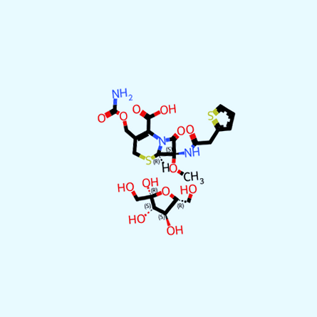 CO[C@@]1(NC(=O)Cc2cccs2)C(=O)N2C(C(=O)O)=C(COC(N)=O)CS[C@@H]21.OC[C@H]1O[C@](O)(CO)[C@@H](O)[C@@H]1O